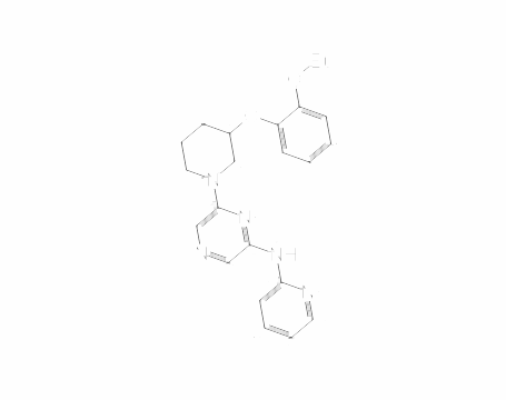 CCOc1ccccc1OC1CCCN(c2cncc(Nc3ccccn3)n2)C1